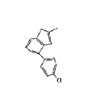 CC1=Cc2c(cccc2-c2ccc(Cl)cc2)[CH]1